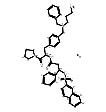 CCCCN(Cc1ccccc1)Cc1ccc(CC(NC(=O)CC(NS(=O)(=O)c2ccc3ccccc3c2)c2ccccc2)C(=O)N2CCCC2)cc1.Cl